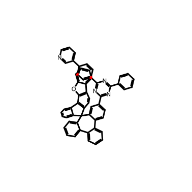 c1ccc(-c2nc(-c3ccc(-c4cccnc4)cc3)nc(-c3ccc4c(c3)C3(c5ccccc5-c5ccccc5-4)c4ccccc4-c4c3ccc3c4oc4ccccc43)n2)cc1